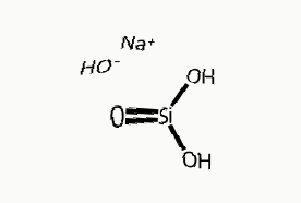 O=[Si](O)O.[Na+].[OH-]